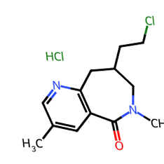 Cc1cnc2c(c1)C(=O)N(C)CC(CCCl)C2.Cl